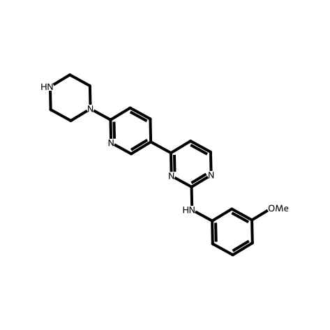 COc1cccc(Nc2nccc(-c3ccc(N4CCNCC4)nc3)n2)c1